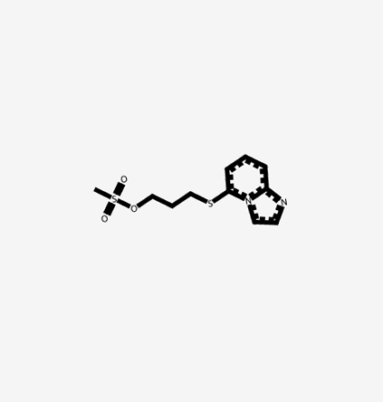 CS(=O)(=O)OCCCSc1cccc2nccn12